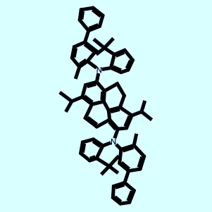 Cc1ccc(-c2ccccc2)cc1N(c1ccccc1C(C)(C)C)c1cc(C(C)C)c2ccc3c(N(c4cc(-c5ccccc5)ccc4C)c4ccccc4C(C)(C)C)cc(C(C)C)c4c3c2c1CC4